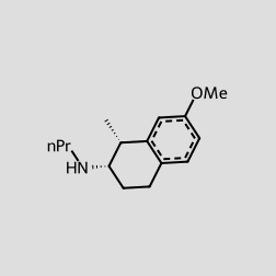 CCCN[C@H]1CCc2ccc(OC)cc2[C@H]1C